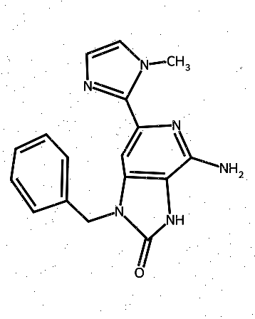 Cn1ccnc1-c1cc2c([nH]c(=O)n2Cc2ccccc2)c(N)n1